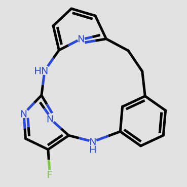 Fc1cnc2nc1Nc1cccc(c1)CCc1cccc(n1)N2